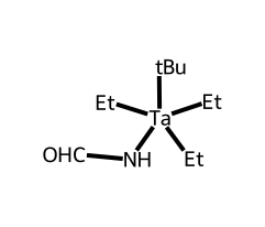 C[CH2][Ta]([CH2]C)([CH2]C)([NH]C=O)[C](C)(C)C